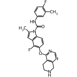 Cc1cc(NC(=O)n2c(C)cc3c(F)c(Oc4ncnc5c4CCNC5)ccc32)ccc1F